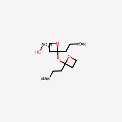 CCCCCCCCCCCCC1(OC2(CCCCCCCCCCCC)CCO2)CCO1.O=S(=O)(O)O